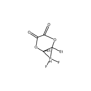 CCC12OC(=O)C(=O)OC1(CC)[PH]2(F)F